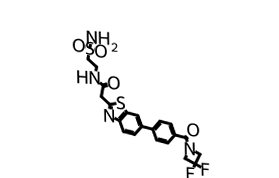 NS(=O)(=O)CCNC(=O)Cc1nc2ccc(-c3ccc(C(=O)N4CC(F)(F)C4)cc3)cc2s1